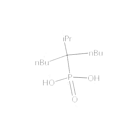 CCCCC(CCCC)(C(C)C)P(=O)(O)O